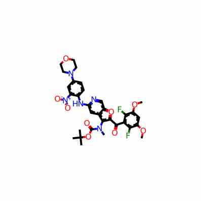 COc1cc(OC)c(F)c(C(=O)c2oc3cnc(Nc4ccc(N5CCOCC5)cc4[N+](=O)[O-])cc3c2N(C)C(=O)OC(C)(C)C)c1F